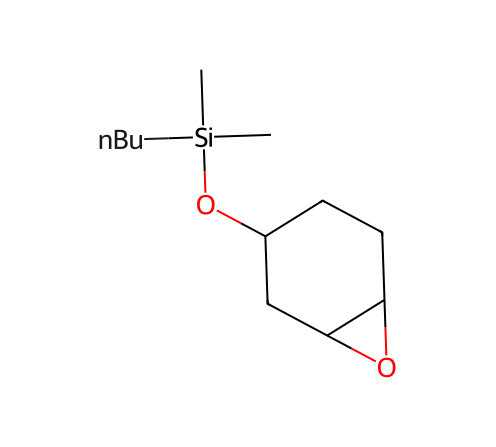 CCCC[Si](C)(C)OC1CCC2OC2C1